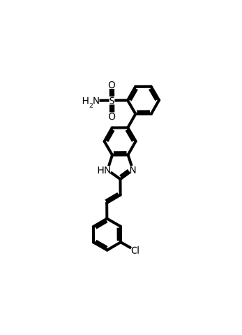 NS(=O)(=O)c1ccccc1-c1ccc2[nH]c(/C=C/c3cccc(Cl)c3)nc2c1